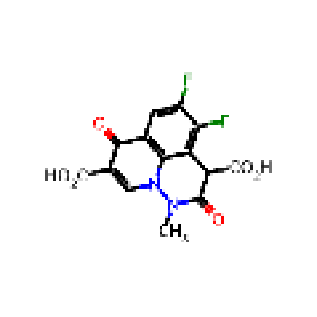 CN1C(=O)C(C(=O)O)c2c(F)c(F)cc3c(=O)c(C(=O)O)cn1c23